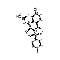 Cc1ccc(S(=O)(=O)n2c(=O)c3ccc(Cl)cc3n(CC(=O)O)c2=O)cc1